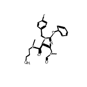 CN(CCCO)C(=O)c1c(N(C)C=O)nc(Oc2ccccc2)n1Cc1ccc(F)cc1